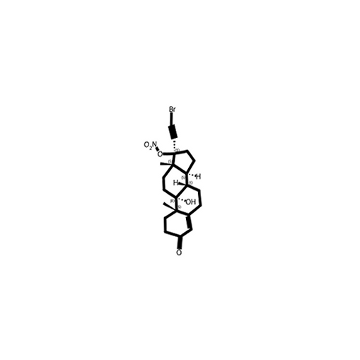 C[C@]12CCC(=O)C=C1CC[C@H]1[C@@H]3CC[C@](C#CBr)(O[N+](=O)[O-])[C@@]3(C)CC[C@@]12O